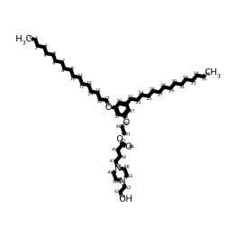 CCCCCCCCCCCCCCCCCCOc1cc(CCCCCCCCCCCCCCC)cc(OCCOC(=O)CCCN2CCN(CCO)CC2)c1